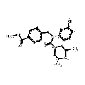 COC(=O)c1ccc(CN(C(=O)N2CC(C)OC(C)C2)c2cccc(C)c2)cc1